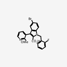 COc1ncccc1-c1c(C(=O)O)n(Cc2ccccc2F)c2ccc(Br)cc12